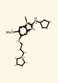 COc1cc2c(cc1OCCCN1CCCC1)nc(NC1CCCC1)n2C